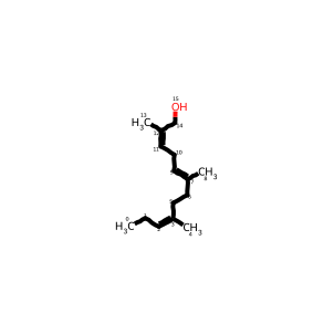 CCC=C(C)CCC(C)=CCC=C(C)CO